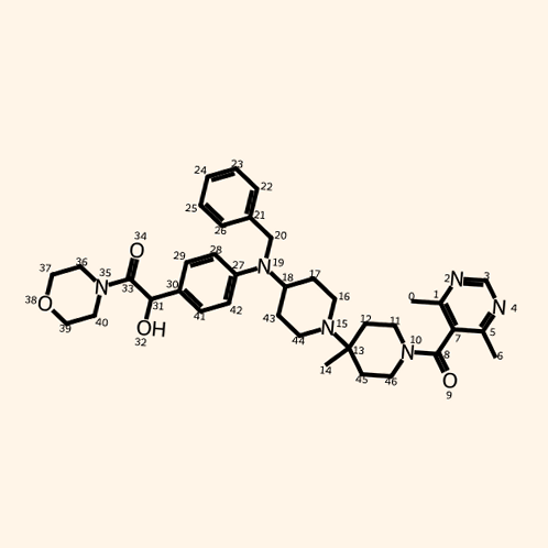 Cc1ncnc(C)c1C(=O)N1CCC(C)(N2CCC(N(Cc3ccccc3)c3ccc(C(O)C(=O)N4CCOCC4)cc3)CC2)CC1